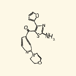 Nc1nc(-c2ccco2)c(C(=O)c2ccnc(N3CCOCC3)c2)s1